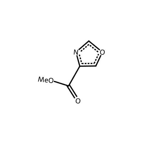 COC(=O)c1cocn1